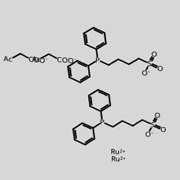 CC(=O)CC(=O)[O-].CC(=O)CC(=O)[O-].O=S(=O)([O-])CCCCP(c1ccccc1)c1ccccc1.O=S(=O)([O-])CCCCP(c1ccccc1)c1ccccc1.[Ru+2].[Ru+2]